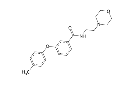 Cc1ccc(Oc2cccc(C(=O)NCCN3CCOCC3)c2)cc1